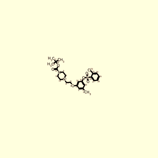 Cc1cc(OCCN2CCN(C(=O)OC(C)(C)C)CC2)cc(OS(=O)(=O)c2ccccc2Cl)c1